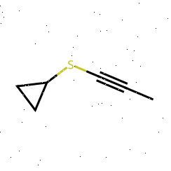 CC#CSC1CC1